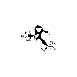 CC(C)(C)n1nc(C#C[Si](C)(C)C)c2c(N)ncnc21